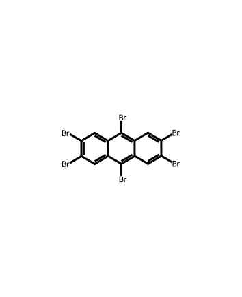 Brc1cc2c(Br)c3cc(Br)c(Br)cc3c(Br)c2cc1Br